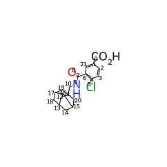 O=C(O)c1ccc(Cl)c(C(=O)NCC23CC4CC(CC(C4)C2)C3)c1